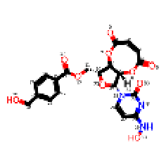 O=C1/C=C\C(=O)O[C@H]2C(O1)[C@@H](COC(=O)c1ccc(CO)cc1)O[C@H]2n1ccc(NO)nc1=O